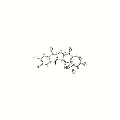 CCc1c2c(nc3cc(F)c(F)cc13)-c1cc3c(c(=O)n1C2)COC(=O)C[C@]3(O)CC